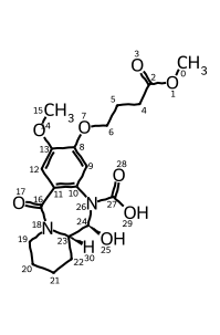 COC(=O)CCCOc1cc2c(cc1OC)C(=O)N1CCCC[C@H]1[C@H](O)N2C(=O)O